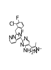 Cc1nn(C)c(C)c1-c1cnc(-c2nc(Cc3c(F)ccc(F)c3Cl)n3ncccc23)nc1N